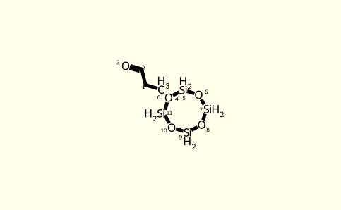 CCC=O.O1[SiH2]O[SiH2]O[SiH2]O[SiH2]1